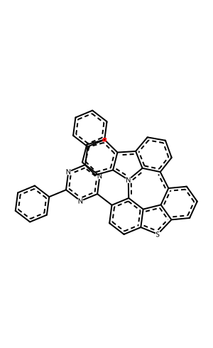 c1ccc(-c2nc(-c3ccccc3)nc(-c3ccc4sc5cccc6c7cccc8c9ccccc9n(c3c4c56)c78)n2)cc1